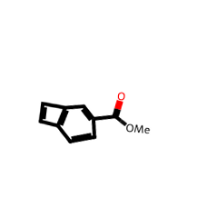 COC(=O)c1ccc2c(c1)C=C2